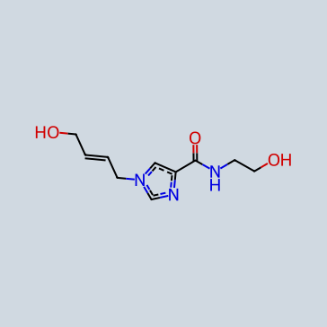 O=C(NCCO)c1cn(CC=CCO)cn1